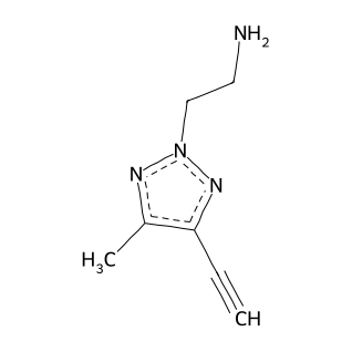 C#Cc1nn(CCN)nc1C